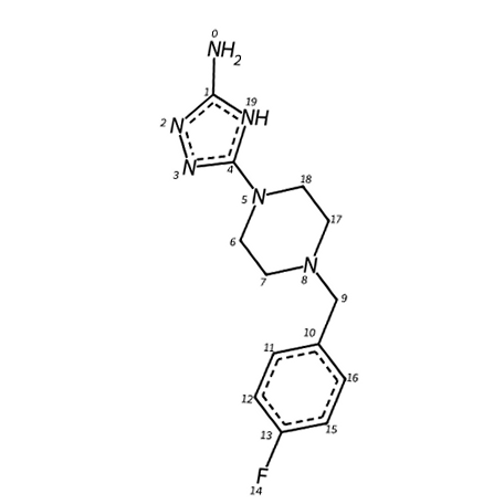 Nc1nnc(N2CCN(Cc3ccc(F)cc3)CC2)[nH]1